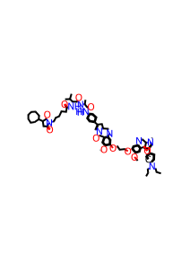 CCCN(CCC)c1ccc(C2=CN(C)C(/C=N\c3cc(OCCCOc4cc5c(cc4OC)C(=O)N4C=C(c6ccc(NC(=O)C(C)NC(=O)C(NC(=O)CCCCCN7C(=O)CC(C8CCCCCCC8)C7=O)C(C)C)cc6)CC4C=N5)c(OC)cc3C=O)C2)cc1